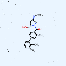 CO/N=C1/C[C@@H](CO)N(C(=O)c2ccc(-c3cccc(C)c3C)cc2C)C1